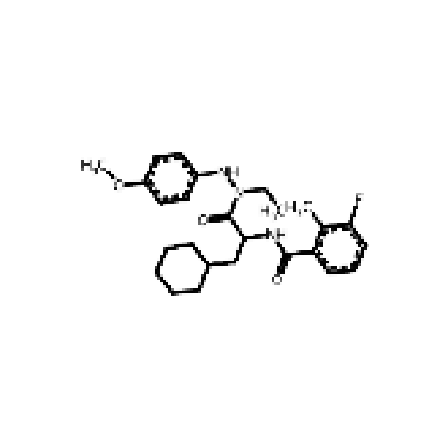 CCN(Nc1ccc(OC)cc1)C(=O)C(CC1CCCCC1)NC(=O)c1cccc(F)c1C